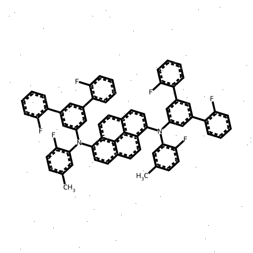 Cc1ccc(F)c(N(c2cc(-c3ccccc3F)cc(-c3ccccc3F)c2)c2ccc3ccc4c(N(c5cc(-c6ccccc6F)cc(-c6ccccc6F)c5)c5cc(C)ccc5F)ccc5ccc2c3c54)c1